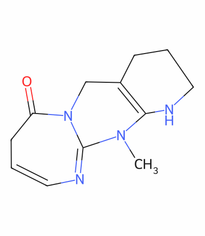 CN1C2=NC=CCC(=O)N2CC2=C1NCCC2